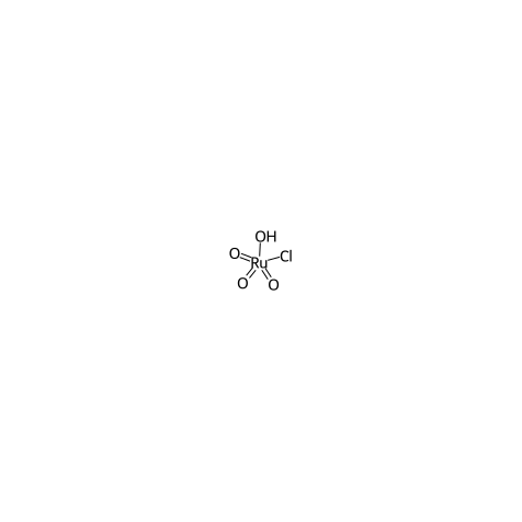 [O]=[Ru](=[O])(=[O])([OH])[Cl]